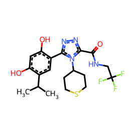 CC(C)c1cc(-c2nnc(C(=O)NCC(F)(F)F)n2C2CCSCC2)c(O)cc1O